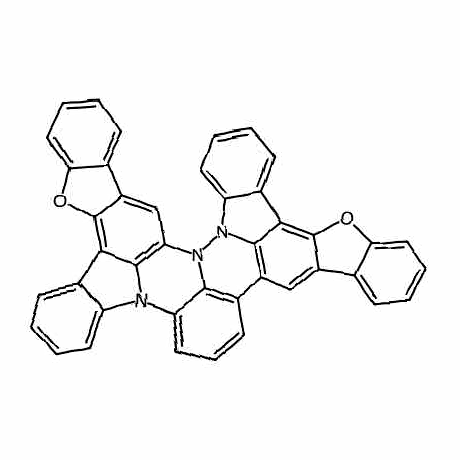 c1ccc2c(c1)oc1c2cc2c3c1c1ccccc1n3c1cccc3c1-n2n1c2ccccc2c2c4oc5ccccc5c4cc3c21